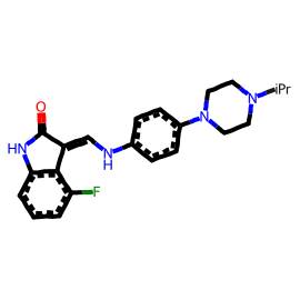 CC(C)N1CCN(c2ccc(N/C=C3/C(=O)Nc4cccc(F)c43)cc2)CC1